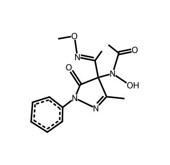 CO/N=C(\C)C1(N(O)C(C)=O)C(=O)N(c2ccccc2)N=C1C